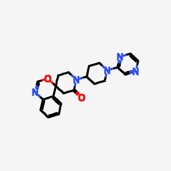 O=C1CC2(CCN1C1CCN(c3cnccn3)CC1)OC=Nc1ccccc12